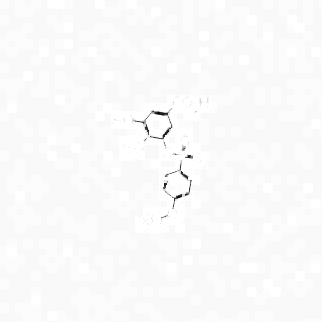 CCCCOc1ccc(S(=O)(=O)Oc2cc(C(=O)O)cc(O)c2O)cc1